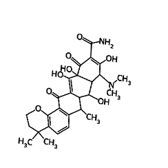 CC1c2ccc3c(c2C(=O)C2=C(O)C4(O)C(=O)C(C(N)=O)=C(O)C(N(C)C)C4C(O)C21)OCCC3(C)C